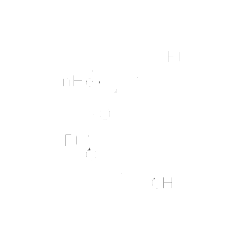 CC/C=C/CC(CCCCCC)Oc1ccc(C)cc1OCC